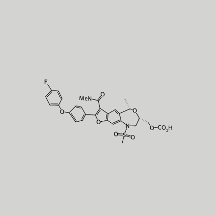 CNC(=O)c1c(-c2ccc(Oc3ccc(F)cc3)cc2)oc2cc3c(cc12)[C@H](C)O[C@H](COC(=O)O)CN3S(C)(=O)=O